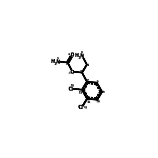 NCC(OC(N)=O)c1cccc(Cl)c1Cl